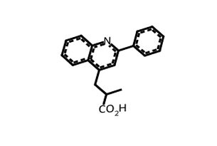 CC(Cc1cc(-c2ccccc2)nc2ccccc12)C(=O)O